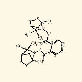 CC12CCC(C1)C(C)(C)C2OC(=O)c1ccccc1C(=O)OC1C2(C)CCC(C2)C1(C)C